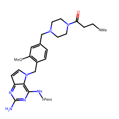 CCCCCNc1nc(N)nc2ccn(Cc3ccc(CN4CCN(C(=O)CCNC)CC4)cc3OC)c12